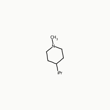 CC(C)C1CCN(C)CC1